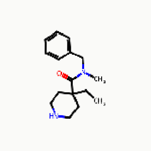 CCC1(C(=O)N(C)Cc2ccccc2)CCNCC1